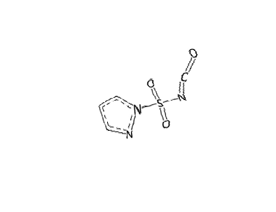 O=C=NS(=O)(=O)n1cccn1